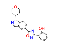 Oc1ccccc1-c1noc(-c2ccc3c(c2)C=NC3C2CCOCC2)n1